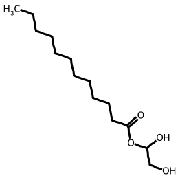 CCCCCCCCCCCC(=O)OC(O)CO